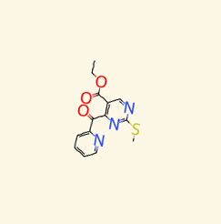 CCOC(=O)c1cnc(SC)nc1C(=O)c1ccccn1